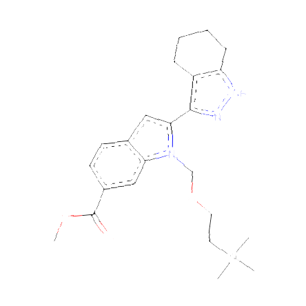 COC(=O)c1ccc2cc(-c3n[nH]c4c3CCCC4)n(COCC[Si](C)(C)C)c2c1